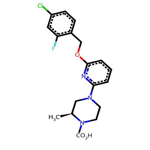 C[C@H]1CN(c2cccc(OCc3ccc(Cl)cc3F)n2)CCN1C(=O)O